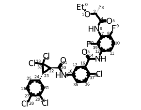 CCO[C@H](C)C(=O)Nc1c(F)ccc(NC(=O)c2cc(NC(=O)[C@H]3[C@H](c4ccc(Cl)c(Cl)c4)C3(Cl)Cl)ccc2Cl)c1F